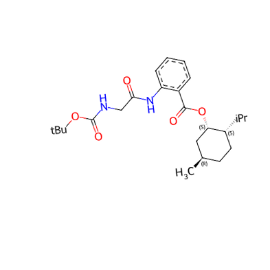 CC(C)[C@@H]1CC[C@@H](C)C[C@@H]1OC(=O)c1ccccc1NC(=O)CNC(=O)OC(C)(C)C